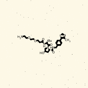 Cc1ncsc1-c1ccc(CNC(=O)[C@@H]2C[C@@H](O)CN2C(=O)C(NC(=O)CCOCCOCCN)C(C)(C)C)cc1